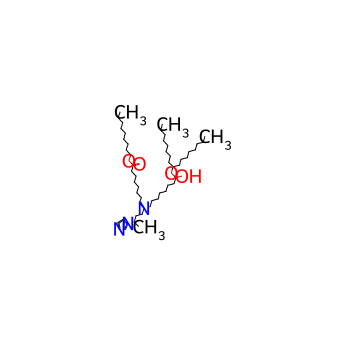 CCCCCCCCCOC(=O)CCCCCCCN(CCCCCCCC(O)OC(CCCCCCCC)CCCCCCCC)CCC(C)n1ccnc1